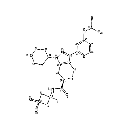 CC1(NC(=O)[C@@H]2CCc3c(-c4cccc(OC(F)F)c4)nn(C4CCOCC4)c3C2)CS(=O)(=O)C1